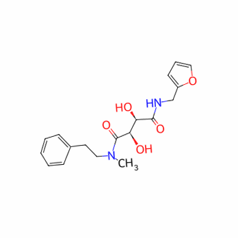 CN(CCc1ccccc1)C(=O)[C@H](O)[C@@H](O)C(=O)NCc1ccco1